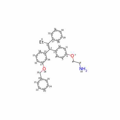 CCC(=C(c1ccc(OCCN)cc1)c1cccc(OCc2ccccc2)c1)c1ccccc1